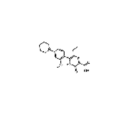 CCc1cc(C(=O)O)c(=O)[nH]c1-c1ccc(N2CCCCC2)cc1OC